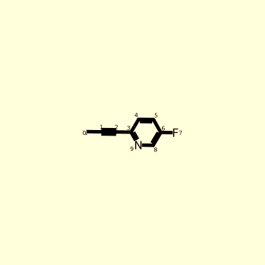 [CH2]C#Cc1ccc(F)cn1